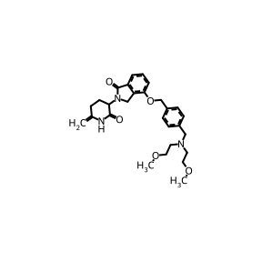 C=C1CCC(N2Cc3c(OCc4ccc(CN(CCOC)CCOC)cc4)cccc3C2=O)C(=O)N1